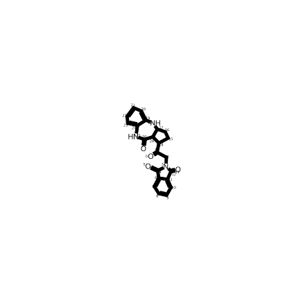 O=C(CN1C(=O)c2ccccc2C1=O)C1CCC2Nc3ccccc3NC(=O)C21